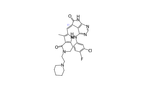 Cc1c(/C=C2/C(=O)Nc3ncnc(Nc4ccc(F)c(Cl)c4)c32)[nH]c2c1C(=O)N(CCN1CCCCC1)CC2